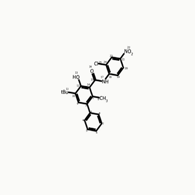 Cc1c(-c2ccccc2)cc(C(C)(C)C)c(O)c1C(=O)Nc1ccc([N+](=O)[O-])cc1Cl